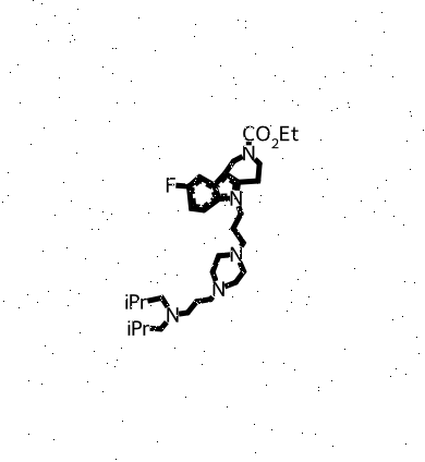 CCOC(=O)N1CCc2c(c3cc(F)ccc3n2CCCN2CCN(CCCN(CC(C)C)CC(C)C)CC2)C1